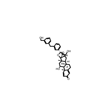 C[C@]12C=CC(=O)C=C1CC[C@H]1[C@@H]3C[C@H]4O[C@@H](c5cccc(Cc6cccc(CO)c6)c5)O[C@@]4(C(=O)CO)[C@@]3(C)C[C@H](O)[C@@]12F